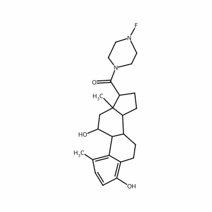 Cc1ccc(O)c2c1C1C(O)CC3(C)C(C(=O)N4CCN(F)CC4)CCC3C1CC2